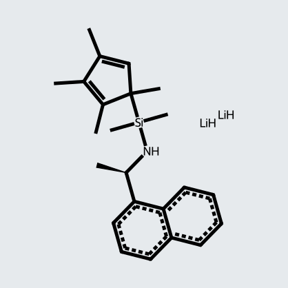 CC1=CC(C)([Si](C)(C)N[C@H](C)c2cccc3ccccc23)C(C)=C1C.[LiH].[LiH]